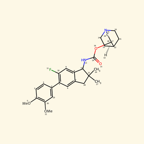 COc1ccc(-c2cc3c(cc2F)C(NC(=O)O[C@H]2CN4CCC2CC4)C(C)(C)C3)cc1OC